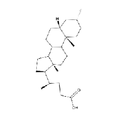 C[C@@H]1CC[C@]2(C)C3CC[C@@]4(C)C(CC[C@@H]4[C@H](C)CCC(=O)O)C3CC[C@@H]2C1